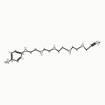 C#CCOCCOCCOCCOCCOc1ccc(S)cc1